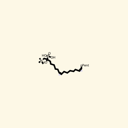 CCCCC/C=C\CCCCC/C=C\CCCCCC(O)(C[N+](C)(C)C)P(=O)(O)O